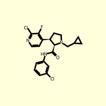 O=C(Nc1cccc(Cl)c1)[C@H]1[C@@H](c2ccnc(Cl)c2F)CCN1CC1CC1